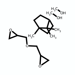 C(OCC1CO1)C1CO1.CC12CCC(CC1)C2(C)C.CO.CO